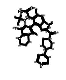 Cc1nc2c(cc(C(=O)N3CCN(c4ccncc4)CC3)n2C)c(-c2cc(F)c3c(c2C)CCCO3)c1[C@H](OC(C)(C)C)C(=O)O